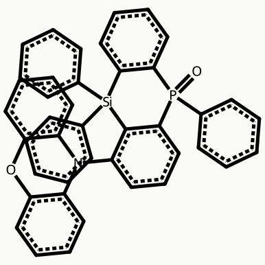 O=P1(c2ccccc2)c2ccccc2[Si](c2ccccc2)(c2ccccc2)c2c(N3c4ccccc4Oc4ccccc43)cccc21